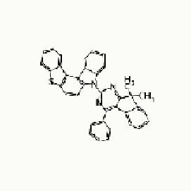 CC1(C)c2ccccc2-c2c(-c3ccccc3)nc(-n3c4ccccc4c4c5c(ccc43)sc3ccccc35)nc21